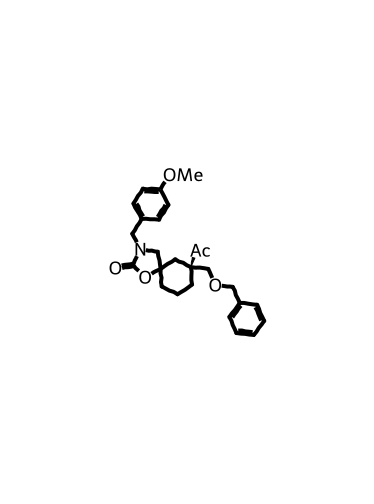 COc1ccc(CN2CC3(CCC[C@](COCc4ccccc4)(C(C)=O)C3)OC2=O)cc1